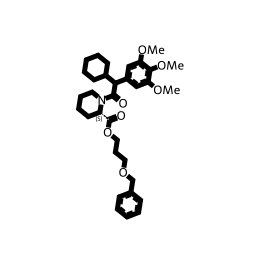 COc1cc(C(C(=O)N2CCCC[C@H]2C(=O)OCCCOCc2ccccc2)C2CCCCC2)cc(OC)c1OC